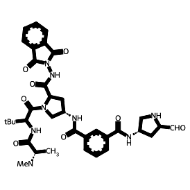 CN[C@@H](C)C(=O)NC(C(=O)N1C[C@@H](NC(=O)c2cccc(C(=O)N[C@@H]3CNC(C=O)C3)c2)CC1C(=O)NN1C(=O)c2ccccc2C1=O)C(C)(C)C